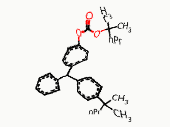 CCCC(C)(C)OC(=O)Oc1ccc(C(c2ccccc2)c2ccc(C(C)(C)CCC)cc2)cc1